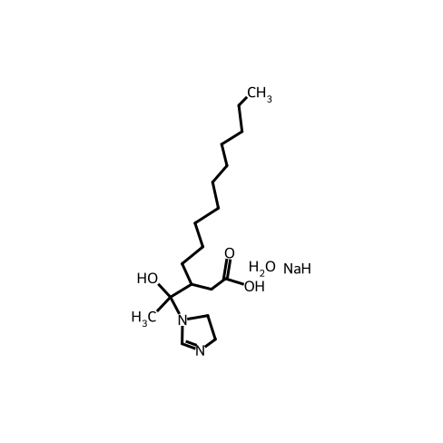 CCCCCCCCCCC(CC(=O)O)C(C)(O)N1C=NCC1.O.[NaH]